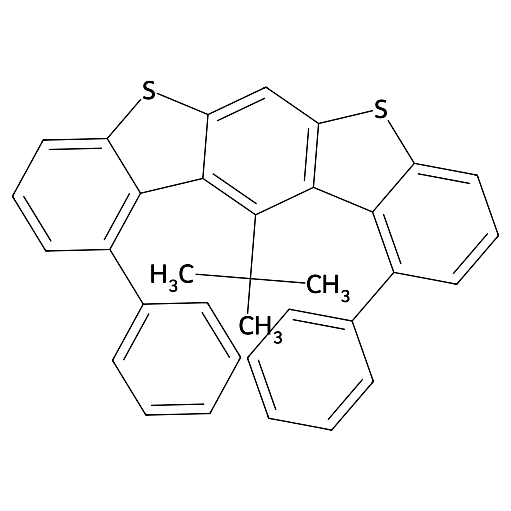 CC(C)(C)c1c2c(cc3sc4cccc(-c5ccccc5)c4c13)sc1cccc(-c3ccccc3)c12